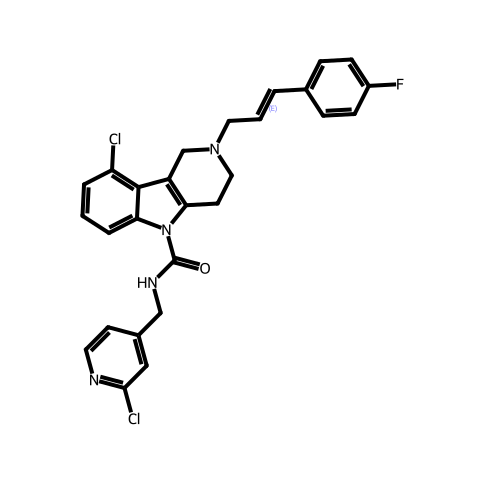 O=C(NCc1ccnc(Cl)c1)n1c2c(c3c(Cl)cccc31)CN(C/C=C/c1ccc(F)cc1)CC2